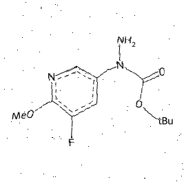 COc1ncc(N(N)C(=O)OC(C)(C)C)cc1F